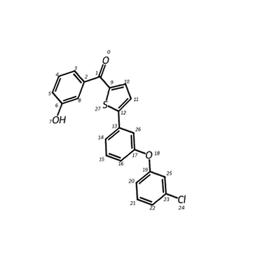 O=C(c1cccc(O)c1)c1ccc(-c2cccc(Oc3cccc(Cl)c3)c2)s1